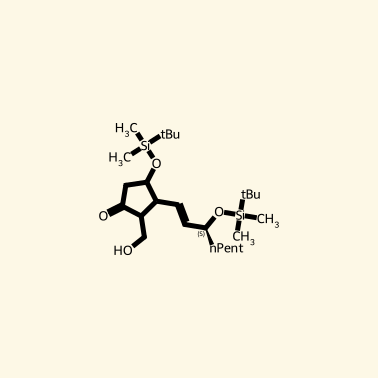 CCCCC[C@@H](C=CC1C(O[Si](C)(C)C(C)(C)C)CC(=O)C1CO)O[Si](C)(C)C(C)(C)C